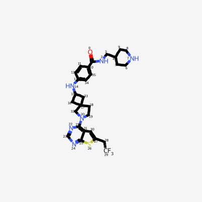 O=C(NCC1CCNCC1)c1ccc(NC2CC3(CCN(c4ncnc5sc(CC(F)(F)F)cc45)C3)C2)cc1